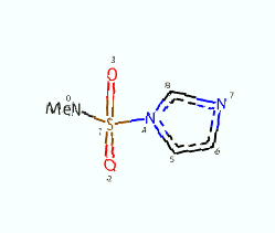 CNS(=O)(=O)n1ccnc1